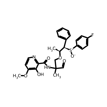 COc1ccnc(C(=O)NC(C)(C=O)CO[C@@H](C)[C@@H](c2ccccc2)[S+]([O-])c2ccc(F)cc2)c1O